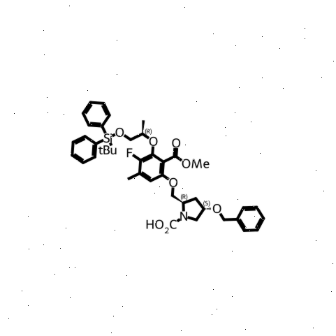 COC(=O)c1c(OC[C@H]2C[C@H](OCc3ccccc3)CN2C(=O)O)cc(C)c(F)c1O[C@H](C)CO[Si](c1ccccc1)(c1ccccc1)C(C)(C)C